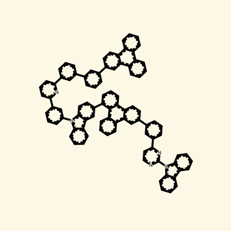 c1cc(-c2cccc(-c3cccc(-c4cccc(-n5c6ccccc6c6cc(-c7cccc8c9ccc(-c%10cccc(-c%11ccnc(-n%12c%13ccccc%13c%13ccccc%13%12)n%11)c%10)cc9c9ccccc9c78)ccc65)c4)n3)c2)cc(-c2ccc3c4ccccc4c4ccccc4c3c2)c1